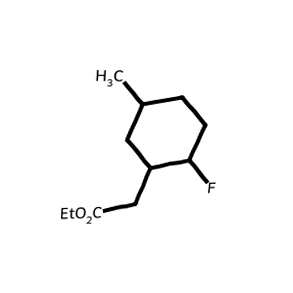 CCOC(=O)CC1CC(C)CCC1F